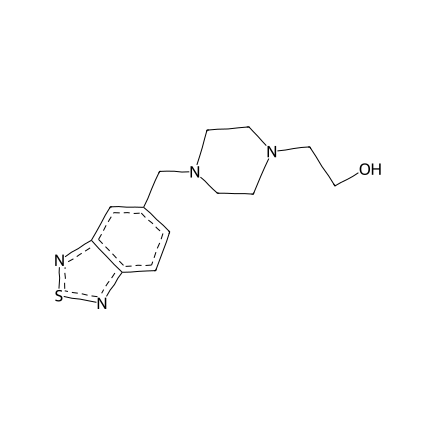 OCCN1CCN(Cc2ccc3nsnc3c2)CC1